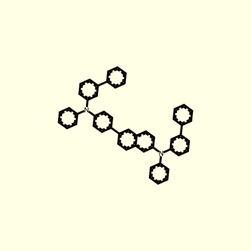 c1ccc(-c2cccc(N(c3ccccc3)c3ccc(-c4ccc5cc(N(c6ccccc6)c6cccc(-c7ccccc7)c6)ccc5c4)cc3)c2)cc1